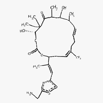 C/C(=C\c1csc(CN)n1)C1C/C=C(/C(F)(F)F)C/C=C/C(C)C(O)C(C)C(=O)C(C)(C)[C@@H](O)CC(=O)O1